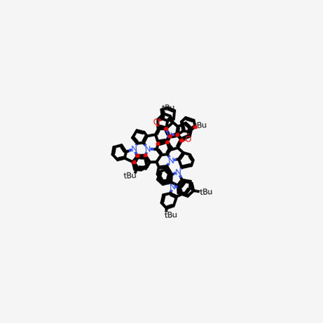 CC(C)(C)c1ccc2c(c1)C1c3ccc(-n4c5ccc(C(C)(C)C)cc5c5cc(C(C)(C)C)ccc54)cc3N(c3c(-c4cccc5c4oc4ccccc45)cccc3-n3c4ccccc4c4ccccc43)c3cc(-n4c5ccc(C(C)(C)C)cc5c5cc(C(C)(C)C)ccc54)cc(c31)N2c1c(-c2cccc3c2oc2ccccc23)cccc1-n1c2ccccc2c2ccccc21